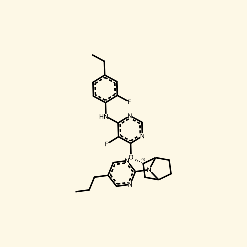 CCCc1cnc(N2C3CCC2[C@@H](Oc2ncnc(Nc4ccc(CC)cc4F)c2F)C3)nc1